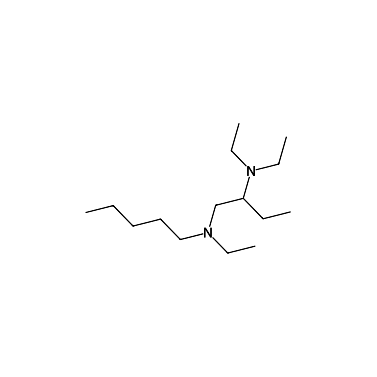 CCCCCN(CC)CC(CC)N(CC)CC